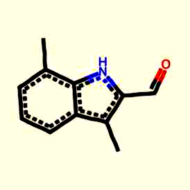 Cc1c(C=O)[nH]c2c(C)cccc12